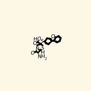 N[C@@H]1C(=O)N2CC(Sc3ccc4c(c3)oc3ccccc34)(C(=O)O)CS[C@H]12